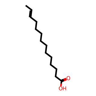 CC=CCCCCCCCCCCC(=O)O